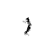 Cn1cc(-c2cnc3ccc(Cc4nnc5sc([C@@H](N)CC6CC6)nn45)cc3c2)cn1